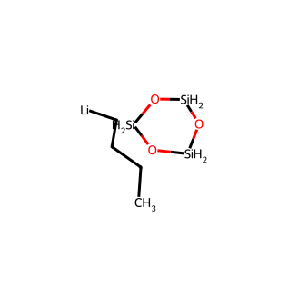 O1[SiH2]O[SiH2]O[SiH2]1.[Li][CH2]CCC